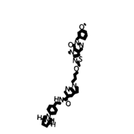 COc1cccc(Cn2ncc3c4sc(COCCCCn5ccc6cc(C(=O)NCCc7ccc(N8C[C@H]9CC[C@@H](C8)N9)cc7)cnc65)nc4n(C)c3c2=O)c1